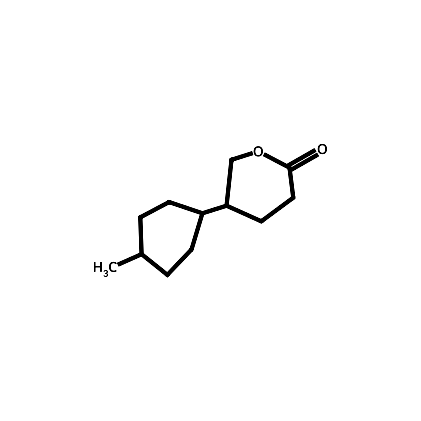 CC1CCC(C2CCC(=O)OC2)CC1